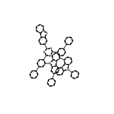 c1ccc(-c2cccc(-c3nc(-c4ccc5c(c4)sc4ccccc45)nc(-c4ccc(-c5ccccc5)cc4-n4c5cc(-c6ccccc6)ccc5c5c(-c6cccc7c6c6ccccc6n7-c6ccccc6)cccc54)n3)c2)cc1